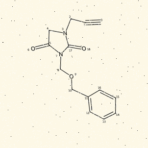 C#CCN1CC(=O)N(COCc2ccccc2)C1=O